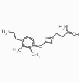 BCCc1ccc(OC2CN(CCC(=C)N)C2)c(C)c1C